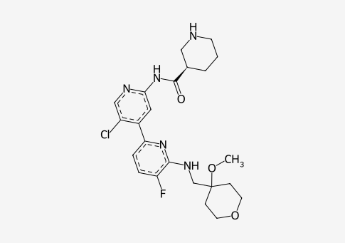 COC1(CNc2nc(-c3cc(NC(=O)[C@@H]4CCCNC4)ncc3Cl)ccc2F)CCOCC1